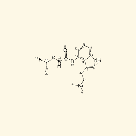 CN(C)CCc1c[nH]c2cccc(OC(=O)NCC(F)F)c12